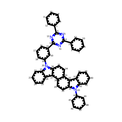 c1ccc(-c2nc(-c3ccccc3)nc(-c3cccc(-n4c5ccccc5c5c6ccc7c(c6ccc54)c4ccccc4n7-c4ccccc4)c3)n2)cc1